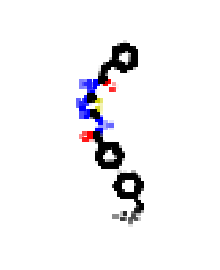 O=C(O)C[C@H]1CC[C@H](c2ccc(C(=O)Nc3nnc(NC(=O)Cc4ccccc4)s3)cc2)CC1